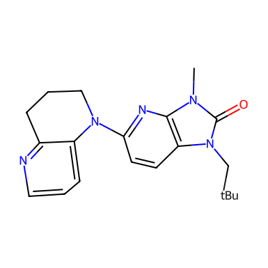 Cn1c(=O)n(CC(C)(C)C)c2ccc(N3CCCc4ncccc43)nc21